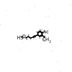 C=Cc1cc(C#CCCCOS)ccc1C(C)=O